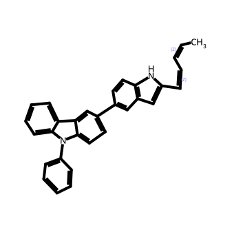 C/C=C\C=C/c1cc2cc(-c3ccc4c(c3)c3ccccc3n4-c3ccccc3)ccc2[nH]1